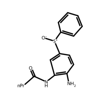 CCCC(=O)Nc1cc([S+]([O-])c2ccccc2)ccc1N